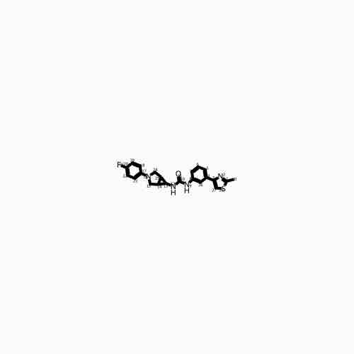 Cc1nc(-c2cccc(NC(=O)NC3C4CN(c5ccc(F)cc5)CC43)c2)cs1